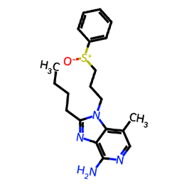 CCCCc1nc2c(N)ncc(C)c2n1CCC[S+]([O-])c1ccccc1